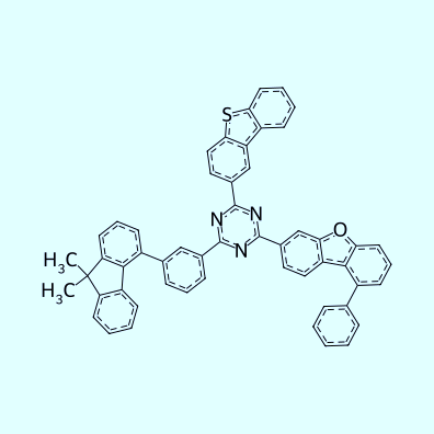 CC1(C)c2ccccc2-c2c(-c3cccc(-c4nc(-c5ccc6c(c5)oc5cccc(-c7ccccc7)c56)nc(-c5ccc6sc7ccccc7c6c5)n4)c3)cccc21